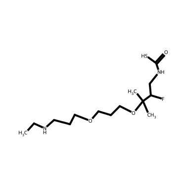 CCNCCCOCCCOC(C)(C)C(F)CNC(=O)S